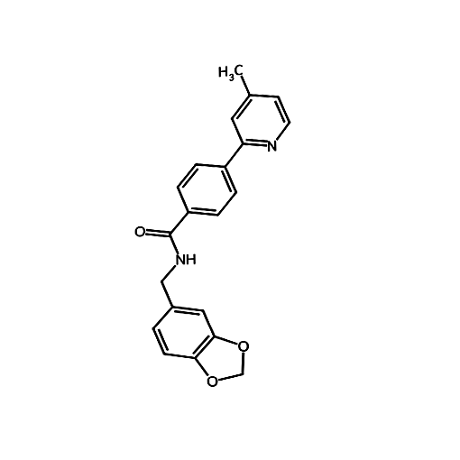 Cc1ccnc(-c2ccc(C(=O)NCc3ccc4c(c3)OCO4)cc2)c1